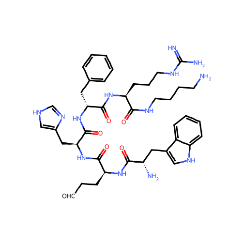 N=C(N)NCCC[C@H](NC(=O)[C@@H](Cc1ccccc1)NC(=O)[C@H](Cc1c[nH]cn1)NC(=O)[C@H](CCC=O)NC(=O)[C@@H](N)Cc1c[nH]c2ccccc12)C(=O)NCCCCN